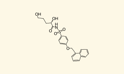 O=C(NS(=O)(=O)c1ccc(OCc2cccc3ccccc23)cc1)[C@H](O)CCCO